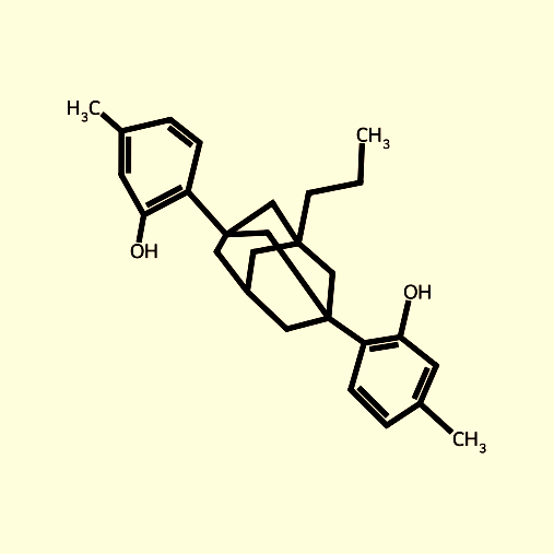 CCCC12CC3CC(c4ccc(C)cc4O)(C1)CC(c1ccc(C)cc1O)(C3)C2